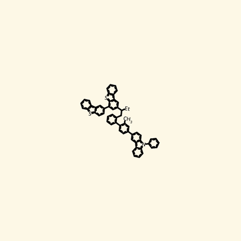 CCC(Cc1ccccc1-c1ccc(-c2ccc3c(c2)c2ccccc2n3-c2ccccc2)cc1C)c1cc(-c2ccc3sc4ccccc4c3c2)c2sc3ccccc3c2c1